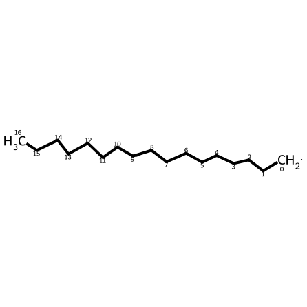 [CH2]CCCCCCCC[CH]CCCCCCC